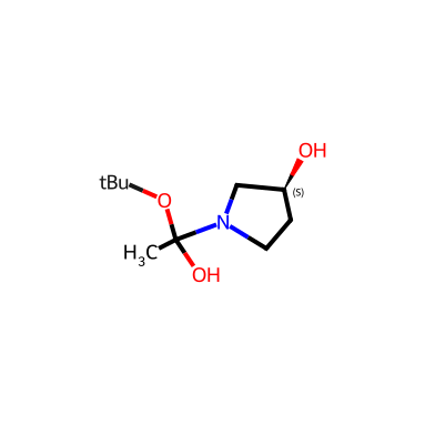 CC(C)(C)OC(C)(O)N1CC[C@H](O)C1